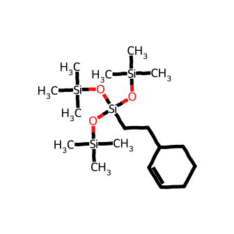 C[Si](C)(C)O[Si](CCC1C=CCCC1)(O[Si](C)(C)C)O[Si](C)(C)C